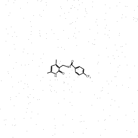 Cc1cc(C)c(CNC(=O)c2ccc(C(F)(F)F)cc2)c(=O)[nH]1